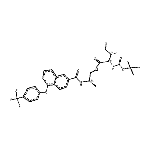 CC[C@H](C)[C@H](NC(=O)OC(C)(C)C)C(=O)OC[C@@H](C)NC(=O)c1ccc2c(Oc3ccc(C(F)(F)F)cc3)cccc2c1